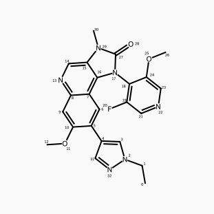 CCn1cc(-c2cc3c(cc2OC)ncc2c3n(-c3c(F)cncc3OC)c(=O)n2C)cn1